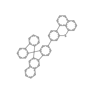 c1ccc2c(c1)-c1ccccc1C21c2cc(-c3ccc4c(c3)Sc3cccc5cccc-4c35)ccc2-c2cc3ccccc3cc21